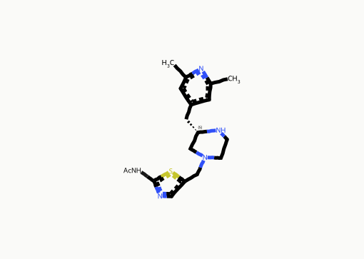 CC(=O)Nc1ncc(CN2CCN[C@@H](Cc3cc(C)nc(C)c3)C2)s1